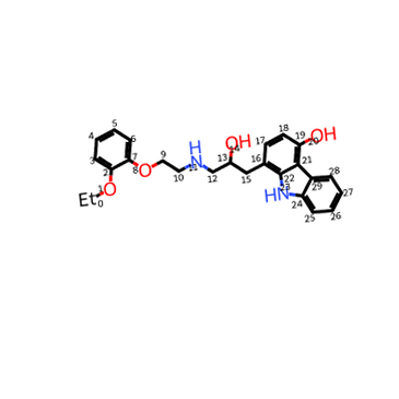 CCOc1ccccc1OCCNCC(O)Cc1ccc(O)c2c1[nH]c1ccccc12